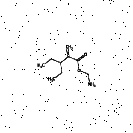 C=C(C(=O)OCN)C(CC)CC